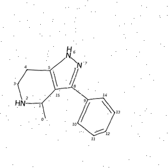 CC1NCCc2[nH]nc(-c3ccccc3)c21